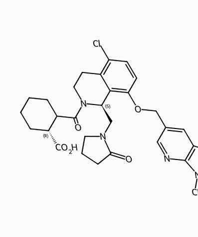 Cn1cnc2cc(COc3ccc(Cl)c4c3[C@@H](CN3CCCC3=O)N(C(=O)C3CCCC[C@H]3C(=O)O)CC4)cnc21